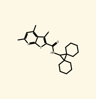 Cc1cc(C)c2c(I)c(C(=O)NC3C4(CCCCC4)C34CCCCC4)sc2n1